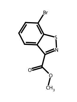 COC(=O)c1nsc2c(Br)cccc12